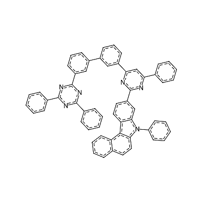 c1ccc(-c2cc(-c3cccc(-c4cccc(-c5nc(-c6ccccc6)nc(-c6ccccc6)n5)c4)c3)nc(-c3ccc4c5c6ccccc6ccc5n(-c5ccccc5)c4c3)n2)cc1